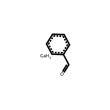 O=Cc1ccccc1.[GaH3]